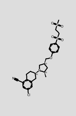 C[C@@H]1C[C@H](COc2ccc(S(=O)(=O)CCS(C)(=O)=O)cc2)CN1[C@@H]1CCc2c(C#N)cc(Cl)cc2C1